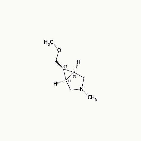 COC[C@H]1[C@H]2CN(C)C[C@@H]12